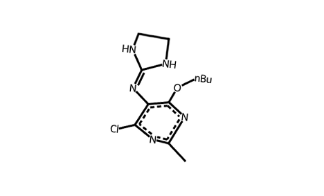 CCCCOc1nc(C)nc(Cl)c1N=C1NCCN1